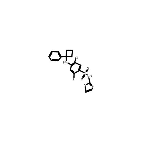 O=S(=O)(Nc1nccs1)c1cc(Cl)c(NC2(c3ccccc3)CCC2)cc1F